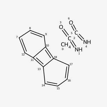 C.N=C=O.N=C=O.c1ccc2c(c1)=c1ccccc1=2